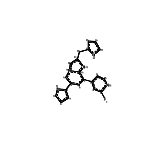 Fc1cc(-c2nc(-c3cccs3)cn3cc(Cc4ccco4)nc23)ccn1